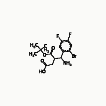 CC(C)(C)OC(=O)C(CC(=O)O)C(N)c1cc(F)c(F)cc1Br